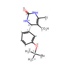 CCC1=C(C(=O)O)[C@H](c2cccc(O[Si](C)(C)C(C)(C)C)c2)NC(=O)N1